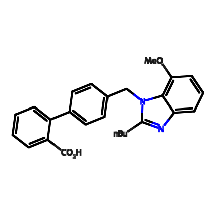 CCCCc1nc2cccc(OC)c2n1Cc1ccc(-c2ccccc2C(=O)O)cc1